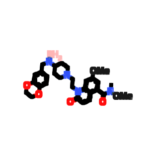 BN(Cc1ccc2c(c1)OCCO2)C1CCN(CCn2c(=O)ccc3c(C(=O)N(C)OC)cc(OC)cc32)CC1